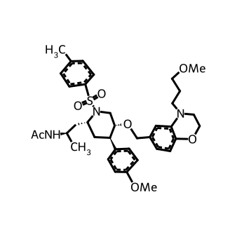 COCCCN1CCOc2ccc(CO[C@H]3CN(S(=O)(=O)c4ccc(C)cc4)[C@@H](C[C@@H](C)NC(C)=O)C[C@@H]3c3ccc(OC)cc3)cc21